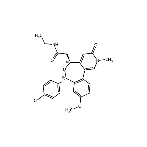 CCNC(=O)C[C@@H]1O[C@@H](c2ccc(Cl)cc2)c2cc(OC)ccc2-c2cn(C)c(=O)cc21